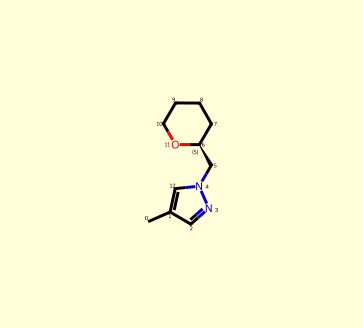 Cc1cnn(C[C@@H]2CCCCO2)c1